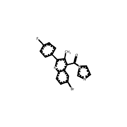 Cc1c(-c2ccc(F)cc2)nc2ccc(Br)cc2c1C(=O)n1ccnc1